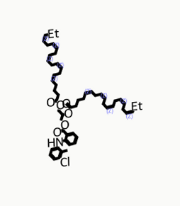 CC/C=C\C/C=C\C/C=C\C/C=C\C/C=C\CCCC(=O)OCC(COC(=O)c1ccccc1Nc1cccc(Cl)c1C)OC(=O)CCC/C=C\C/C=C\C/C=C\C/C=C\C/C=C\CC